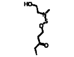 CCC(=O)CCOSN(C)CCO